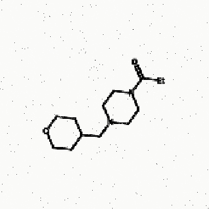 CCC(=O)N1CCN(CC2CCOCC2)CC1